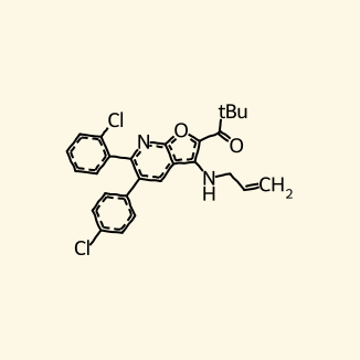 C=CCNc1c(C(=O)C(C)(C)C)oc2nc(-c3ccccc3Cl)c(-c3ccc(Cl)cc3)cc12